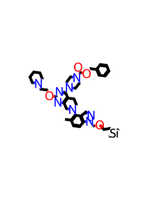 Cc1ccc2c(cnn2COCC[Si](C)(C)C)c1N1CCc2c(nc(OCCN3CCCCC3)nc2N2CCN(C(=O)OCc3ccccc3)CC2)C1